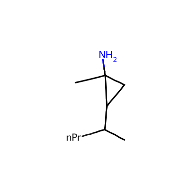 CCCC(C)C1CC1(C)N